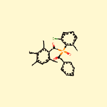 Cc1cc(C)c(C(=O)P(=O)(C(=O)c2ccccc2)c2c(C)cccc2Cl)c(C)c1C